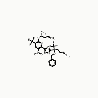 C=CCC[C@@](OCc1ccccc1)(c1nnc(-c2nc(O[C@H](C)CC=C)c(C(F)(F)F)cc2[N+](=O)[O-])o1)C(F)(F)F